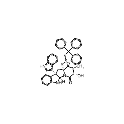 CN1C(=O)[C@]2(SSSC(c3ccccc3)(c3ccccc3)c3ccccc3)C[C@]3(c4c[nH]c5ccccc45)c4ccccc4N[C@@H]3N2C(=O)[C@H]1O